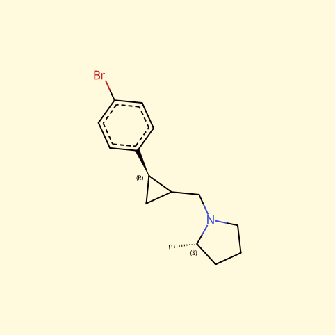 C[C@H]1CCCN1CC1C[C@H]1c1ccc(Br)cc1